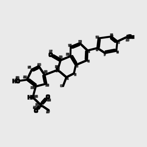 CC1Cc2cc(-c3ccc(C(C)(C)C)cc3)ccc2C(=O)N1c1ccc(O)c(NS(C)(=O)=O)c1